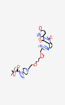 CC(C)(C)OC(=O)NC1CCN(CCOCCCOCCNc2cccc3c2C(=O)N(C2CCC(=O)NC2=O)C3=O)CC1